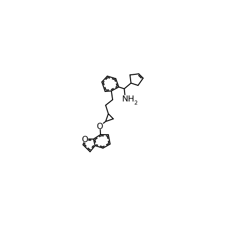 NC(c1ccccc1CCC1CC1Oc1cccc2ccoc12)C1CC=CC1